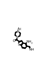 CC(=O)N1CCN(C(=O)c2cc3c(N)c(C=N)ccc3s2)CC1